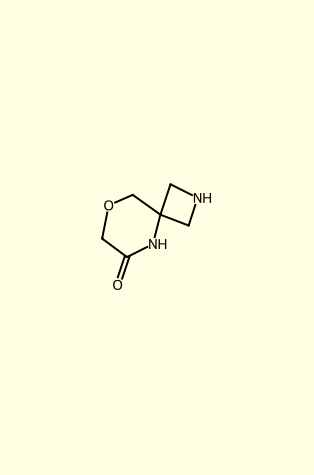 O=C1COCC2(CNC2)N1